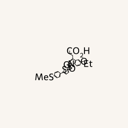 CCOc1ccc2c(c1)c(CCC(=O)O)cn2S(=O)(=O)c1ccc(-c2ccc(SC)cc2)s1